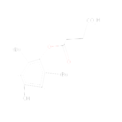 Cc1cc(C(C)(C)C)c(OC(=O)CCC(=O)O)c(C(C)(C)C)c1